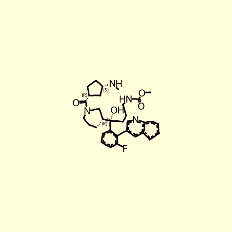 CN[C@H]1CC[C@@H](C(=O)N2CCC[C@@H]([C@@](O)(CCCNC(=O)OC)c3cccc(F)c3-c3cnc4ccccc4c3)C2)C1